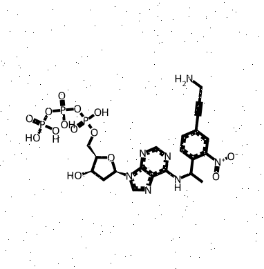 CC(Nc1ncnc2c1ncn2[C@H]1C[C@@H](O)[C@@H](COP(=O)(O)OP(=O)(O)OP(=O)(O)O)O1)c1ccc(C#CCN)cc1[N+](=O)[O-]